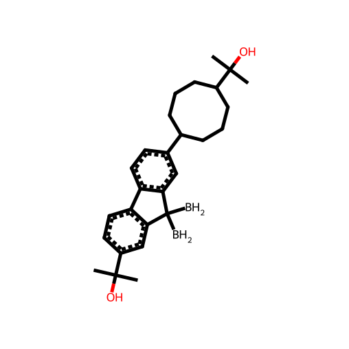 BC1(B)c2cc(C3CCCC(C(C)(C)O)CCC3)ccc2-c2ccc(C(C)(C)O)cc21